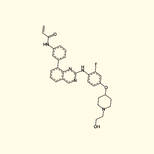 C=CC(=O)Nc1cccc(-c2cccc3cnc(Nc4ccc(OC5CCN(CCO)CC5)cc4F)nc23)c1